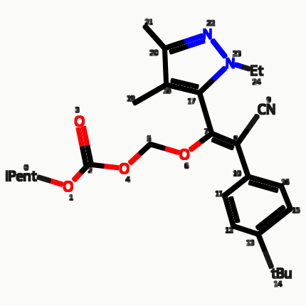 CCCC(C)OC(=O)OCO/C(=C(/C#N)c1ccc(C(C)(C)C)cc1)c1c(C)c(C)nn1CC